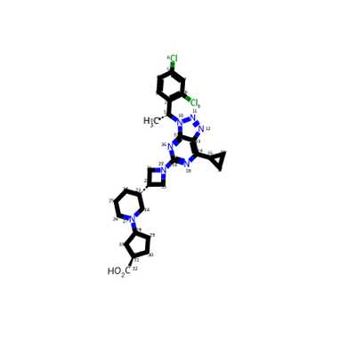 C[C@H](c1ccc(Cl)cc1Cl)n1nnc2c(C3CC3)nc(N3CC([C@H]4CCCN(C5CC[C@@H](C(=O)O)C5)C4)C3)nc21